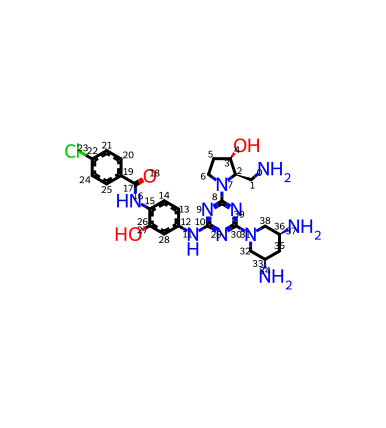 NC[C@@H]1[C@H](O)CCN1c1nc(Nc2ccc(NC(=O)c3ccc(Cl)cc3)c(O)c2)nc(N2C[C@H](N)C[C@H](N)C2)n1